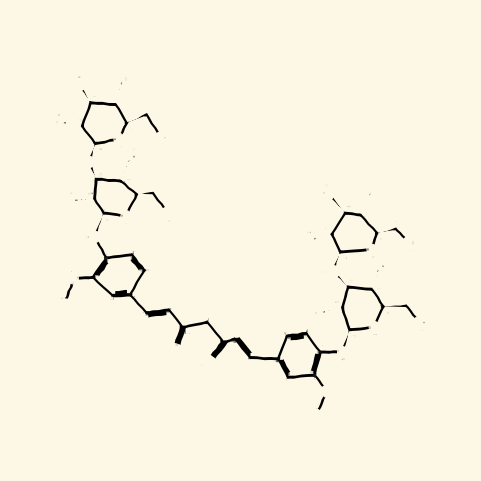 COc1cc(/C=C/C(=O)CC(=O)/C=C/c2ccc(O[C@@H]3O[C@H](CO)[C@@H](O)[C@H](O[C@@H]4O[C@H](CO)[C@@H](O)[C@H](O)[C@H]4O)[C@H]3O)c(OC)c2)ccc1O[C@@H]1O[C@H](CO)[C@@H](O)[C@H](O[C@@H]2O[C@H](CO)[C@@H](O)[C@H](O)[C@H]2O)[C@H]1O